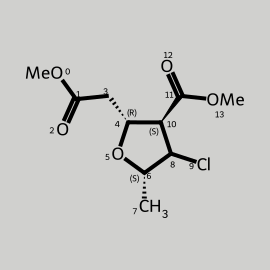 COC(=O)C[C@H]1O[C@@H](C)C(Cl)[C@@H]1C(=O)OC